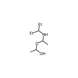 CCC(CC)NC(C)OC(C)O